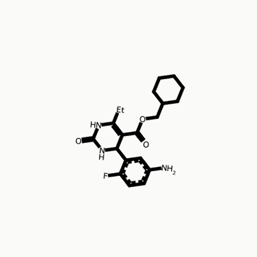 CCC1=C(C(=O)OCC2CCCCC2)C(c2cc(N)ccc2F)NC(=O)N1